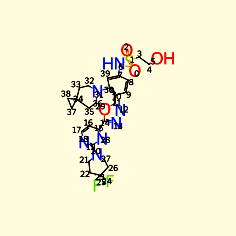 O=S(=O)(CCO)Nc1ccc(-c2nnc(-c3ccnc(N4CCC(F)(F)CC4)n3)o2)c(N2CCC3(CC2)CC3)c1